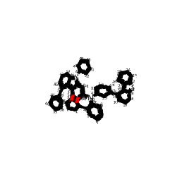 c1ccc(-c2ccccc2N(c2cccc(-c3cccc4sc5ccccc5c34)c2)c2ccc3c4c(-c5ccccc5)cccc4n(-c4ccccc4)c3c2)cc1